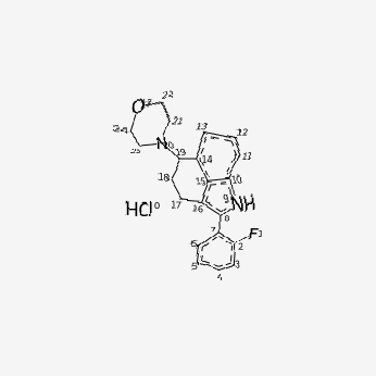 Cl.Fc1ccccc1-c1[nH]c2cccc3c2c1CCC3N1CCOCC1